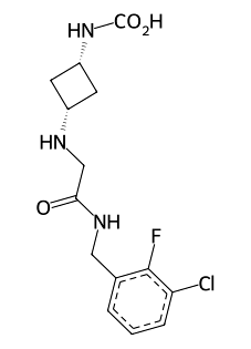 O=C(CN[C@H]1C[C@@H](NC(=O)O)C1)NCc1cccc(Cl)c1F